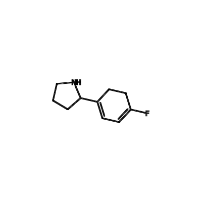 FC1=CC=C(C2CCCN2)CC1